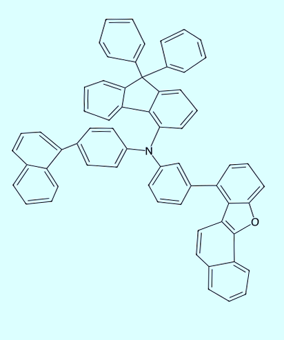 c1ccc(C2(c3ccccc3)c3ccccc3-c3c(N(c4ccc(-c5cccc6ccccc56)cc4)c4cccc(-c5cccc6oc7c8ccccc8ccc7c56)c4)cccc32)cc1